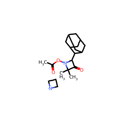 C1C[N]C1.CC(=O)ON1C(C2C3CC4CC(C3)CC2C4)C(=O)C1(C)C